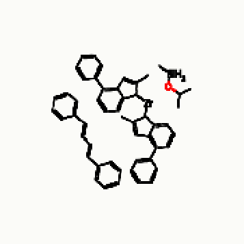 C(C=Cc1ccccc1)=Cc1ccccc1.CC1=Cc2c(-c3ccccc3)cccc2[CH]1[Zr][CH]1C(C)=Cc2c(-c3ccccc3)cccc21.C[SiH2]OC(C)C